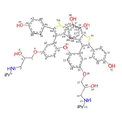 CC(C)NCC(O)COc1ccc(Oc2ccc(OCC(O)CNC(C)C)cc2-c2c(-c3ccc(O)cc3)sc3cc(O)ccc23)c(-c2c(-c3ccc(O)cc3)sc3cc(O)ccc23)c1